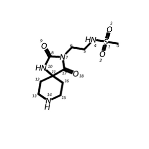 CS(=O)(=O)NCCN1C(=O)NC2(CCNCC2)C1=O